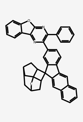 c1ccc(-c2nc3oc4ccccc4c3nc2-c2ccc3c(c2)C2(c4cc5ccccc5cc4-3)C3CC4CC5CC2C3(C4)C5)cc1